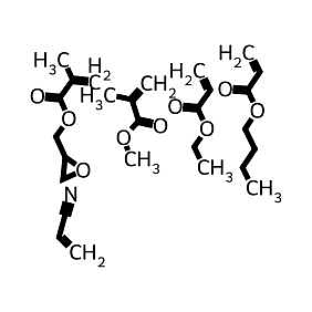 C=C(C)C(=O)OC.C=C(C)C(=O)OCC1CO1.C=CC#N.C=CC(=O)OCC.C=CC(=O)OCCCC